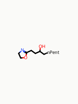 CCCCCCC(O)CCC1=NCCO1